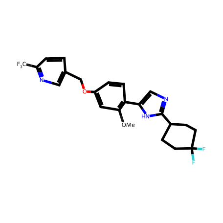 COc1cc(OCc2ccc(C(F)(F)F)nc2)ccc1-c1cnc(C2CCC(F)(F)CC2)[nH]1